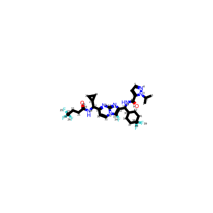 CC(C)n1nccc1C(=O)NC(c1nc2nc(C(NC(=O)CCC(F)(F)F)C3CC3)ccn2c1F)C1CCC(F)(F)CC1